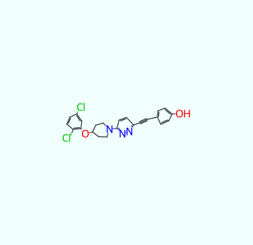 Oc1ccc(C#Cc2ccc(N3CCC(Oc4cc(Cl)ccc4Cl)CC3)nn2)cc1